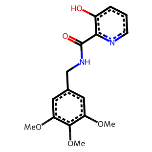 COc1cc(CNC(=O)c2ncccc2O)cc(OC)c1OC